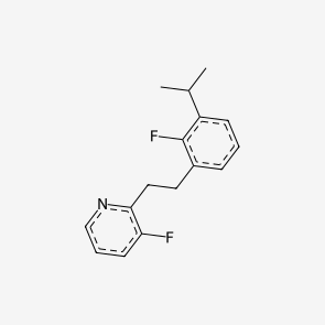 CC(C)c1cccc(CCc2ncccc2F)c1F